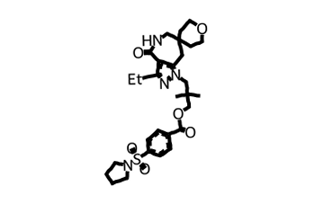 CCc1nn(CC(C)(C)COC(=O)c2ccc(S(=O)(=O)N3CCCC3)cc2)c2c1C(=O)NCC1(CCOCC1)C2